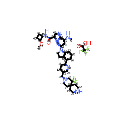 CNc1cc(N2CCc3c(-c4ccc(CN5CCC6(CCNCC6)C(F)(F)C5)cn4)cccc32)nn2c(C(=O)N[C@@H]3CC[C@H]3OC)cnc12.O=C(O)C(F)(F)F